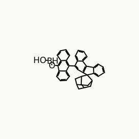 OBOc1c2ccccc2c(-c2cc3c(c4ccccc24)-c2ccccc2C32C3CC4CC(C3)CC2C4)c2ccccc12